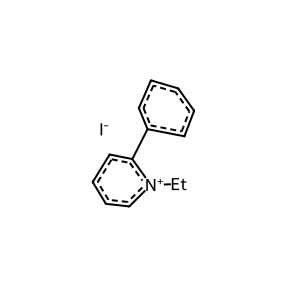 CC[n+]1ccccc1-c1ccccc1.[I-]